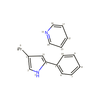 CC(C)c1c[nH]c(-c2ccccc2)c1.c1ccncc1